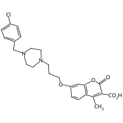 Cc1c(C(=O)O)c(=O)oc2cc(OCCCN3CCN(Cc4ccc(Cl)cc4)CC3)ccc12